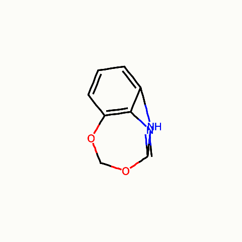 c1cc2c3nc([nH]c3c1)OCO2